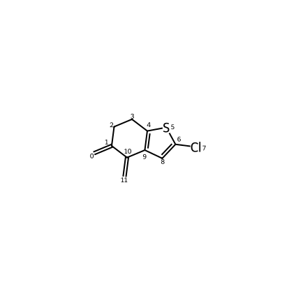 C=C1CCc2sc(Cl)cc2C1=C